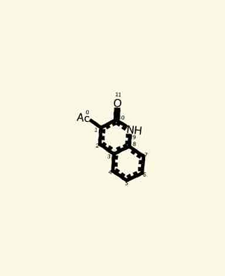 CC(=O)c1cc2ccccc2[nH]c1=O